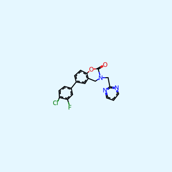 O=C1Oc2ccc(-c3ccc(Cl)c(F)c3)cc2CN1Cc1ncccn1